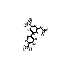 COC(=O)c1ccc(-c2cc(CN(C)C)cc([N+](=O)[O-])c2)cc1